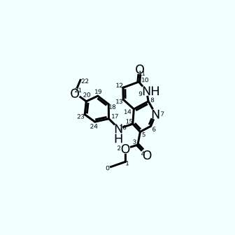 CCOC(=O)c1cnc2[nH]c(=O)ccc2c1Nc1ccc(OC)cc1